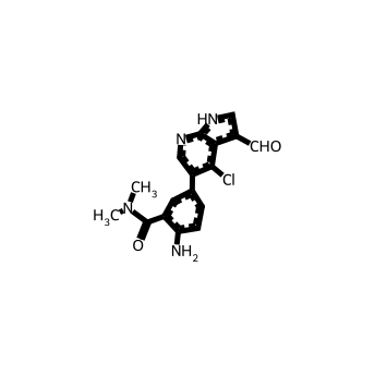 CN(C)C(=O)c1cc(-c2cnc3[nH]cc(C=O)c3c2Cl)ccc1N